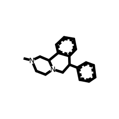 CN1CCN2CC(c3ccccc3)c3ccccc3C2C1